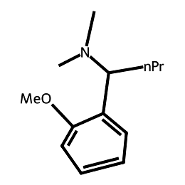 CCCC(c1ccccc1OC)N(C)C